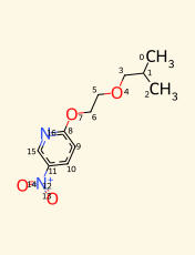 CC(C)COCCOc1ccc([N+](=O)[O-])cn1